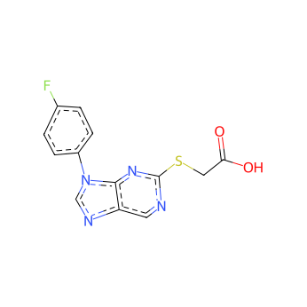 O=C(O)CSc1ncc2ncn(-c3ccc(F)cc3)c2n1